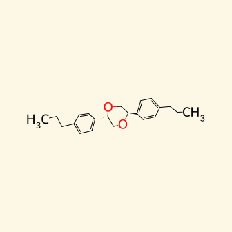 CCCc1ccc([C@@H]2CO[C@@H](c3ccc(CCC)cc3)CO2)cc1